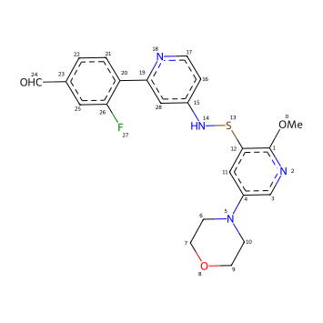 COc1ncc(N2CCOCC2)cc1SNc1ccnc(-c2ccc(C=O)cc2F)c1